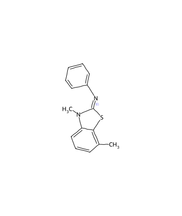 Cc1cccc2c1s/c(=N/c1ccccc1)n2C